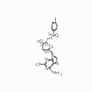 Cc1ccc(S(=O)(=O)OC[C@H]2O[C@@H](n3cnc4c(N)nc(Cl)nc43)C[C@@H]2O)cc1